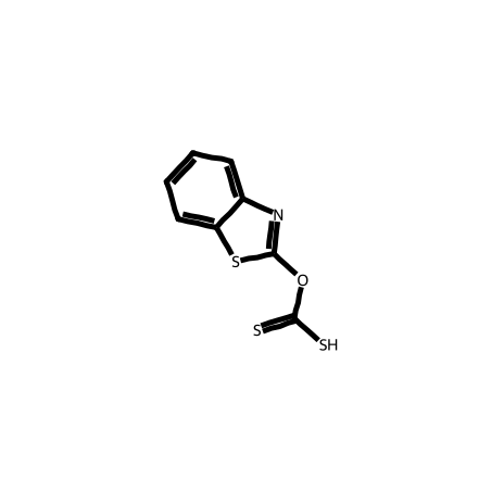 S=C(S)Oc1nc2ccccc2s1